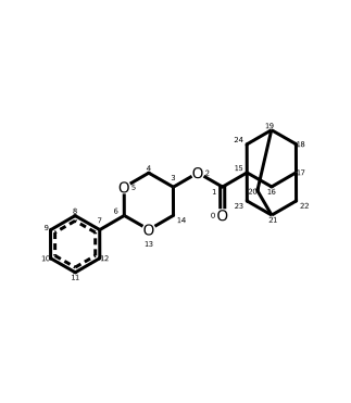 O=C(OC1COC(c2ccccc2)OC1)C12CC3CC(CC(C3)C1)C2